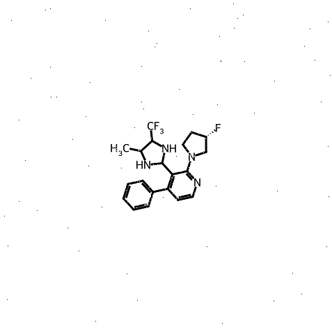 CC1NC(c2c(-c3ccccc3)ccnc2N2CC[C@H](F)C2)NC1C(F)(F)F